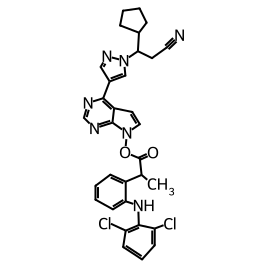 CC(C(=O)On1ccc2c(-c3cnn(C(CC#N)C4CCCC4)c3)ncnc21)c1ccccc1Nc1c(Cl)cccc1Cl